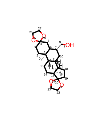 C[C@]12CCC3(CC1[C@H](CO)C[C@@H]1[C@@H]2CC[C@@]2(C)[C@H]1CCC21OCCO1)OCCO3